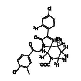 [2H]c1cc(Cl)ccc1C1=[N+](C(C)(C)C)C2(N(CC(=O)c3ccc(Cl)c(C)c3)C1=O)C([2H])([2H])N(C(=O)[O-])C([2H])([2H])C([2H])([2H])C2([2H])[2H]